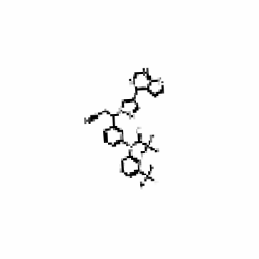 N#CCC(c1cccc(N(C(=O)C(F)(F)F)c2cccc(C(F)(F)F)c2)c1)n1cc(-c2ncnc3[nH]ccc23)cn1